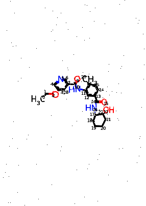 CCOc1cncc(C(=O)Nc2cc(C(=O)N[C@H]3CCCC[C@@H]3O)ccc2C)c1